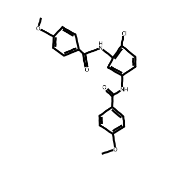 COc1ccc(C(=O)Nc2ccc(Cl)c(NC(=O)c3ccc(OC)cc3)c2)cc1